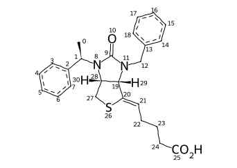 C[C@H](c1ccccc1)N1C(=O)N(Cc2ccccc2)[C@@H]2C(=CCCCC(=O)O)SC[C@@H]21